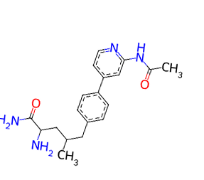 CC(=O)Nc1cc(-c2ccc(CC(C)CC(N)C(N)=O)cc2)ccn1